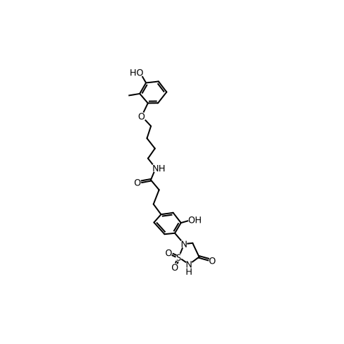 Cc1c(O)cccc1OCCCCNC(=O)CCc1ccc(N2CC(=O)NS2(=O)=O)c(O)c1